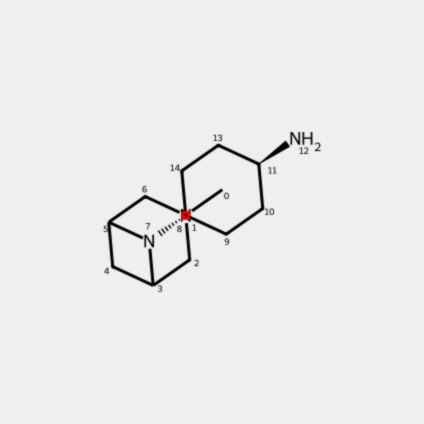 CN1CC2CC(C1)N2[C@H]1CC[C@H](N)CC1